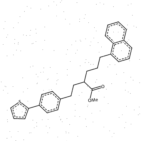 COC(=O)C(CCCc1cccc2ccccc12)CCc1ccc(-c2cccs2)cc1